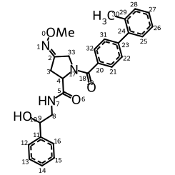 CON=C1CC(C(=O)NCC(O)c2ccccc2)N(C(=O)c2ccc(-c3ccccc3C)cc2)C1